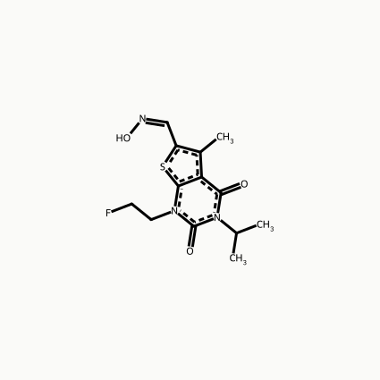 Cc1c(/C=N\O)sc2c1c(=O)n(C(C)C)c(=O)n2CCF